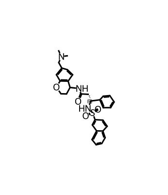 CN(C)Cc1ccc2c(c1)OCCC2NC(=O)C[C@@H](NS(=O)(=O)c1ccc2ccccc2c1)c1ccccc1